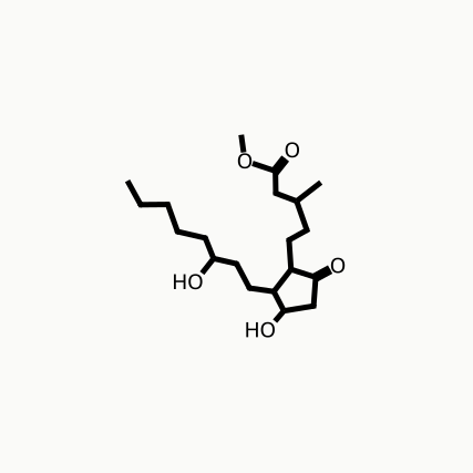 CCCCCC(O)CCC1C(O)CC(=O)C1CCC(C)CC(=O)OC